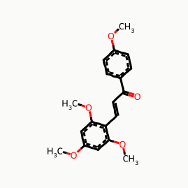 COc1ccc(C(=O)/C=C/c2c(OC)cc(OC)cc2OC)cc1